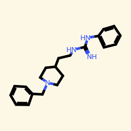 N=C(NCCC1CCN(Cc2ccccc2)CC1)Nc1ccccc1